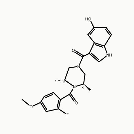 COc1ccc(C(=O)N2[C@H](C)CN(C(=O)c3c[nH]c4ccc(O)cc34)C[C@H]2C)c(F)c1